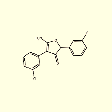 NC1=C(c2cccc(Cl)c2)C(=O)C(c2cccc(F)c2)O1